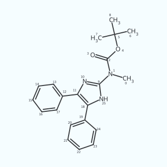 CN(C(=O)OC(C)(C)C)c1nc(-c2ccccc2)c(-c2ccccc2)[nH]1